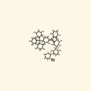 Brc1ccccc1-c1cccc(-c2ccc3c4ccccc4n(-c4ccc5c(c4)-c4ccccc4C5(c4ccccc4)c4ccccc4)c3c2)c1